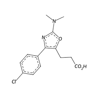 CN(C)c1nc(-c2ccc(Cl)cc2)c(CCC(=O)O)o1